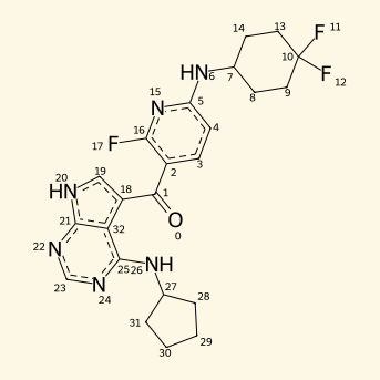 O=C(c1ccc(NC2CCC(F)(F)CC2)nc1F)c1c[nH]c2ncnc(NC3CCCC3)c12